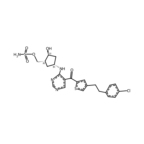 NS(=O)(=O)OC[C@H]1C[C@@H](Nc2ncncc2C(=O)c2cc(CCc3ccc(Cl)cc3)cs2)C[C@@H]1O